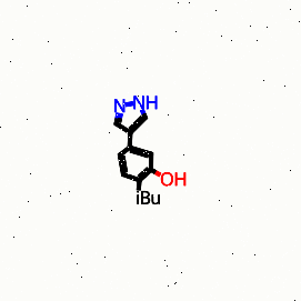 CCC(C)c1ccc(-c2cn[nH]c2)cc1O